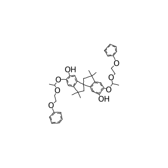 CC(OCCOc1ccccc1)Oc1cc2c(cc1O)C1(CC2(C)C)CC(C)(C)c2cc(OC(C)OCCOc3ccccc3)c(O)cc21